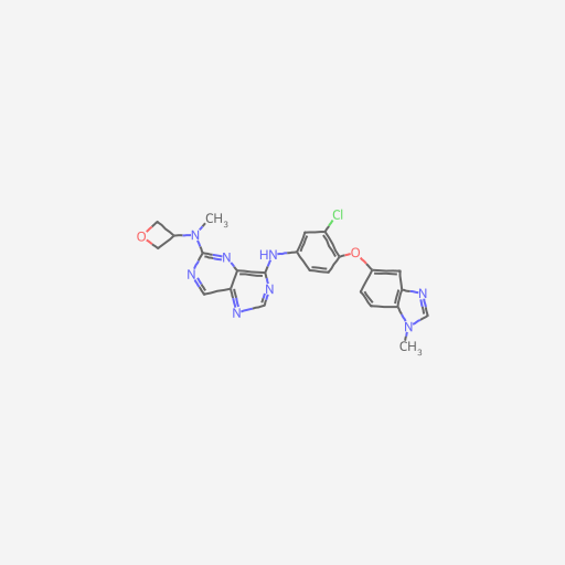 CN(c1ncc2ncnc(Nc3ccc(Oc4ccc5c(c4)ncn5C)c(Cl)c3)c2n1)C1COC1